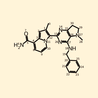 Cc1cc2c(C(N)=O)cccn2c1-c1nc2c(c(NCc3ccccc3)n1)N(C)CC2